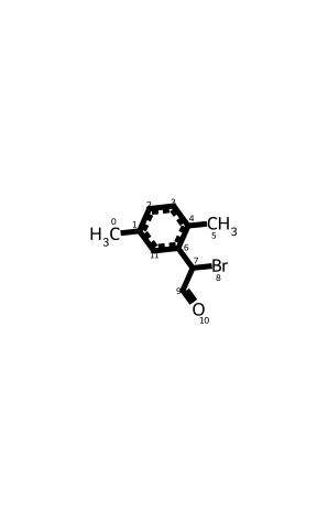 Cc1ccc(C)c(C(Br)C=O)c1